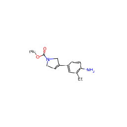 CCc1cc(C2=CCN(C(=O)OC(C)(C)C)C2)ccc1N